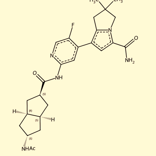 CC(=O)N[C@H]1C[C@@H]2C[C@H](C(=O)Nc3cc(-c4cc(C(N)=O)n5c4CC(C)(C)C5)c(F)cn3)C[C@@H]2C1